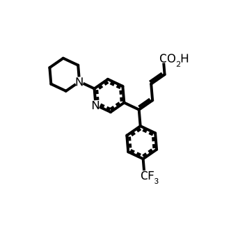 O=C(O)C=CC=C(c1ccc(C(F)(F)F)cc1)c1ccc(N2CCCCC2)nc1